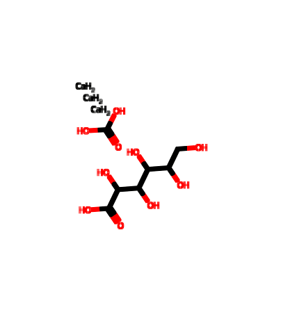 O=C(O)C(O)C(O)C(O)C(O)CO.O=C(O)O.[CaH2].[CaH2].[CaH2]